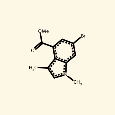 COC(=O)c1cc(Br)cc2c1c(C)cn2C